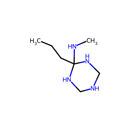 CCCC1(NC)NCNCN1